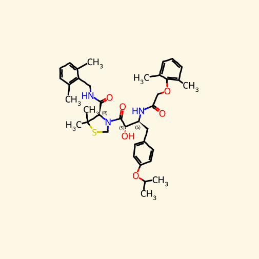 Cc1cccc(C)c1CNC(=O)[C@H]1N(C(=O)[C@@H](O)[C@H](Cc2ccc(OC(C)C)cc2)NC(=O)COc2c(C)cccc2C)CSC1(C)C